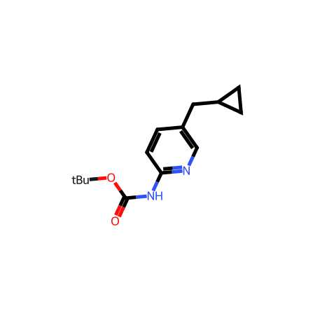 CC(C)(C)OC(=O)Nc1ccc(CC2CC2)cn1